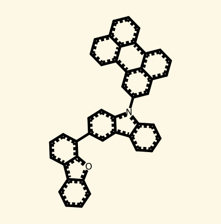 c1ccc2c(c1)oc1c(-c3ccc4c(c3)c3ccccc3n4-c3cc4cccc5c6cccc7cccc(c(c3)c45)c76)cccc12